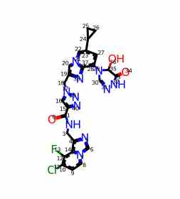 O=C(NCc1ncn2ccc(Cl)c(F)c12)c1cn(Cc2cn3cc(C4CC4)cc(N4C=NNC(=O)C4O)c3n2)nn1